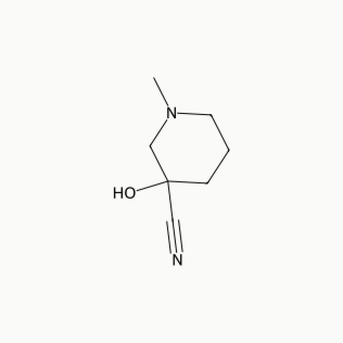 CN1CCCC(O)(C#N)C1